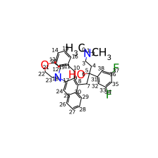 CN(C)CCC(O)(Cc1c(Cc2ccccc2)c(N2CCOCC2)cc2ccccc12)c1cc(F)cc(F)c1